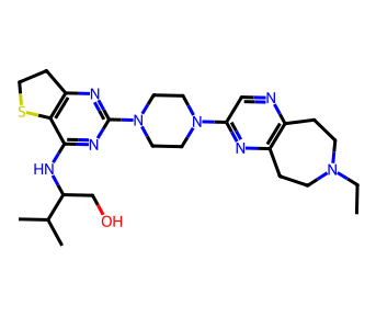 CCN1CCc2ncc(N3CCN(c4nc5c(c(NC(CO)C(C)C)n4)SCC5)CC3)nc2CC1